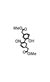 COC(=O)Cc1ccc(O)c(C2=C(N=O)C=CC(CC(=O)OC)C2)c1